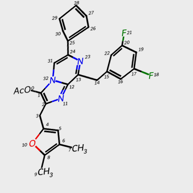 CC(=O)Oc1c(Cc2cc(C)c(C)o2)nc2c(Cc3cc(F)cc(F)c3)nc(-c3ccccc3)cn12